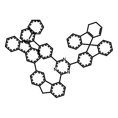 C1=CC2=C(CC1)c1ccccc1C21c2ccccc2-c2ccc(-c3nc(-c4ccc(-c5ccccc5)cc4)nc(-c4cccc5c4-c4cc(-c6ccc7c(c6)c6ccccc6n7-c6ccccc6)ccc4C5)n3)cc21